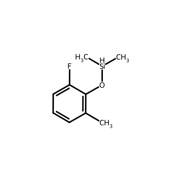 Cc1cccc(F)c1O[SiH](C)C